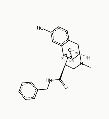 CN1CC[C@]23C[C@H](C(=O)NCc4ccccc4)C[C@@]2(O)[C@H]1Cc1ccc(O)cc13